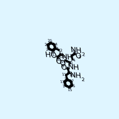 NC(=O)CC[C@H](NC(=O)[C@@H](N)Cc1ccccc1)C(=O)N[C@@H](Cc1ccccc1)C(=O)O